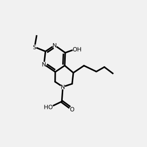 CCCCC1CN(C(=O)O)Cc2nc(SC)nc(O)c21